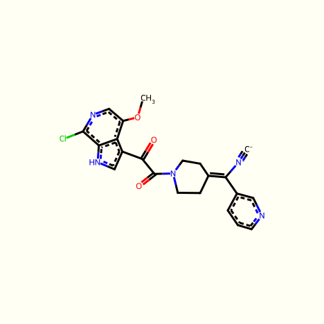 [C-]#[N+]C(=C1CCN(C(=O)C(=O)c2c[nH]c3c(Cl)ncc(OC)c23)CC1)c1cccnc1